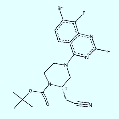 CC(C)(C)OC(=O)N1CCN(c2nc(F)nc3c(F)c(Br)ccc23)C[C@@H]1CC#N